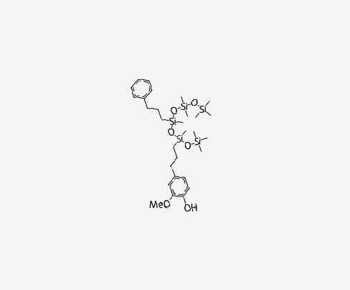 COc1cc(CCC[Si](C)(O[Si](C)(C)C)O[Si](C)(CCCc2ccccc2)O[Si](C)(C)O[Si](C)(C)C)ccc1O